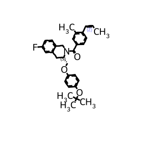 C/C=C\c1ccc(C(=O)N2Cc3ccc(F)cc3C[C@H]2COc2ccc(OC(C)(C)C)cc2)cc1C